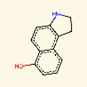 Oc1cccc2c3c(ccc12)NCC3